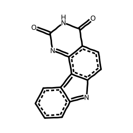 O=C1N=c2c(ccc3c2=c2ccccc2=N3)C(=O)N1